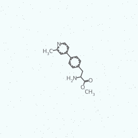 COC(=O)C(N)Cc1ccc(-c2ccnc(C)c2)cc1